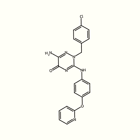 Nc1nn(Cc2ccc(Cl)cc2)c(Nc2ccc(Oc3ccccn3)cc2)nc1=O